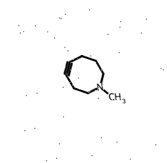 CN1CCC#CCCC1